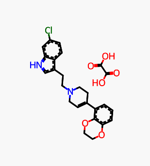 Clc1ccc2c(CCN3CC=C(c4cccc5c4OCCO5)CC3)c[nH]c2c1.O=C(O)C(=O)O